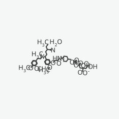 CCCC(C#N)CCC(c1ccc(OC)c(OCC(=O)NN2CCC(CO[N+](=O)OC(=O)CC(O)(CC(=O)O)C(=O)[O-])CC2)c1)N(C)CCc1ccc(OC)c(OC)c1.O